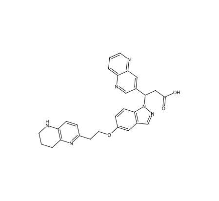 O=C(O)CC(c1cnc2cccnc2c1)n1ncc2cc(OCCc3ccc4c(n3)CCCN4)ccc21